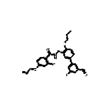 CCCOc1ccc(C(=O)NCc2cc(-c3cc(F)cc(C=O)c3)ccc2OCCC)c(Cl)c1